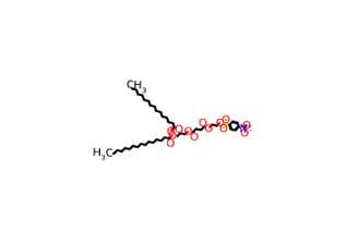 CCCCCCCCCCCCCCCC(=O)OCC(COC(=O)CCC(=O)OCCOS(=O)(=O)c1ccc([N+](=O)[O-])cc1)OC(=O)CCCCCCCCCCCCCCC